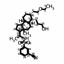 CCOCC[C@H]1CC[C@@H]2[C@H](CC[C@]3(C)C([C@@H](C)NS(=O)(=O)c4cccc(C#N)c4)CC[C@@H]23)[C@H]1CCCO